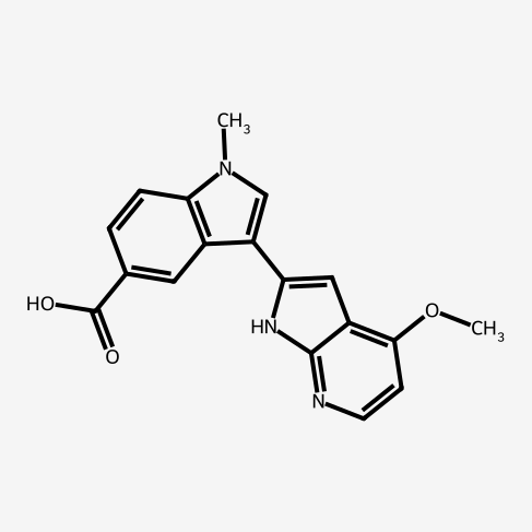 COc1ccnc2[nH]c(-c3cn(C)c4ccc(C(=O)O)cc34)cc12